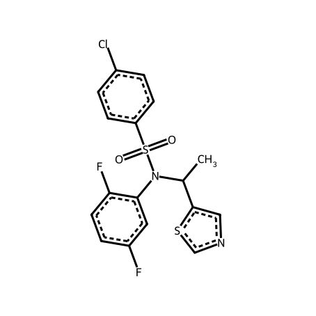 CC(c1cncs1)N(c1cc(F)ccc1F)S(=O)(=O)c1ccc(Cl)cc1